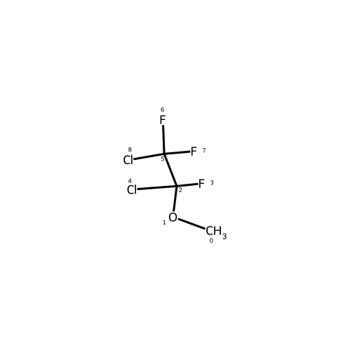 COC(F)(Cl)C(F)(F)Cl